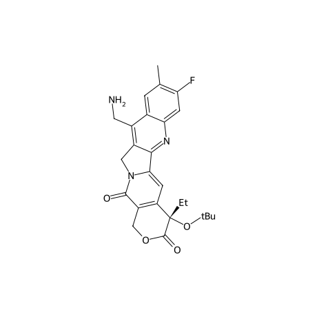 CC[C@@]1(OC(C)(C)C)C(=O)OCc2c1cc1n(c2=O)Cc2c-1nc1cc(F)c(C)cc1c2CN